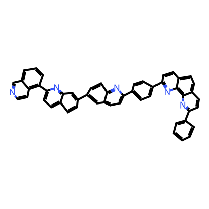 c1ccc(-c2ccc3ccc4ccc(-c5ccc(-c6ccc7cc(-c8ccc9ccc(-c%10cccc%11cnccc%10%11)nc9c8)ccc7n6)cc5)nc4c3n2)cc1